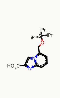 CC(C)[Si](OCc1cccc2nc(C(=O)O)cn12)(C(C)C)C(C)C